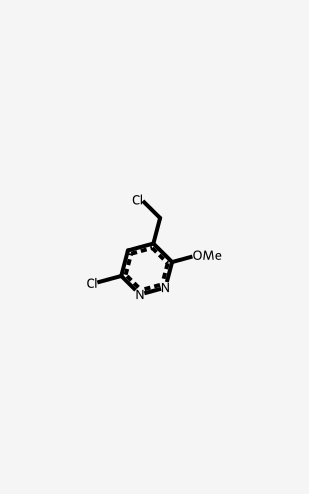 COc1nnc(Cl)cc1CCl